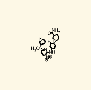 CN(c1cccnc1)c1ccc([N+](=O)[O-])c(Nc2ccc(N3CCCC(C(N)=O)C3)c(F)c2)n1